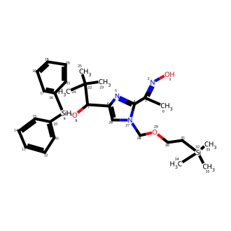 CC(=NO)c1nc(C(O[SiH](c2ccccc2)c2ccccc2)C(C)(C)C)cn1COCC[Si](C)(C)C